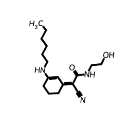 CCCCCCNC1=C/C(=C(/C#N)C(=O)NCCO)CCC1